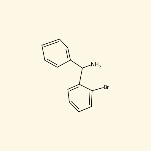 NC(c1ccccc1)c1ccccc1Br